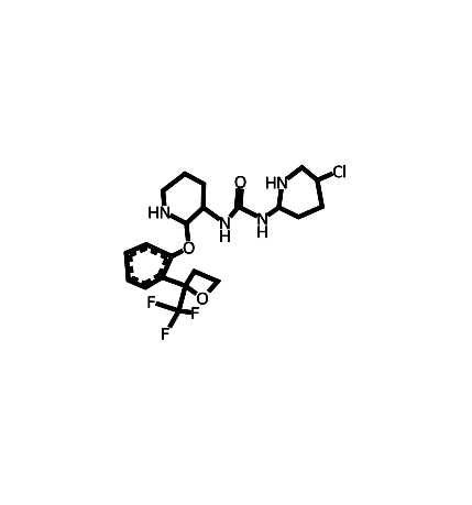 O=C(NC1CCC(Cl)CN1)NC1CCCNC1Oc1ccccc1C1(C(F)(F)F)CCO1